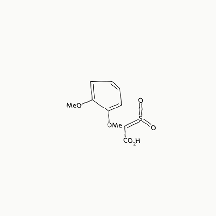 COc1ccccc1OC.O=C(O)C=S(=O)=O